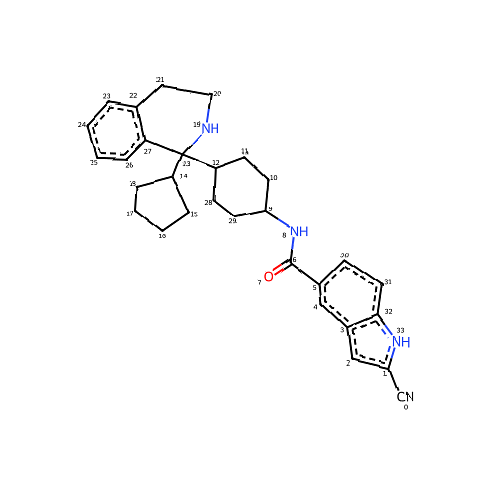 N#Cc1cc2cc(C(=O)NC3CCC(C4(C5CCCC5)NCCc5ccccc54)CC3)ccc2[nH]1